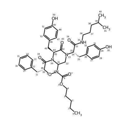 CCCCCOC(=O)N1O[C@H](Cc2ccccc2)C(=O)N2C1CN([C@@H](Cc1ccc(O)cc1)C(=O)NCCCC(C)C)C(=O)[C@@H]2Cc1ccc(O)cc1